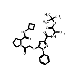 CC(NC(=O)c1cc(OCC(=O)N2CCCC2C(=O)NC2CCC2)n(-c2ccccc2)n1)C(=O)OC(C)(C)C